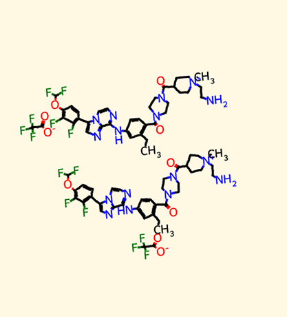 CCc1cc(Nc2nccn3c(-c4ccc(OC(F)F)c(F)c4F)cnc23)ccc1C(=O)N1CCN(C(=O)C2CC[N+](C)(CCN)CC2)CC1.CCc1cc(Nc2nccn3c(-c4ccc(OC(F)F)c(F)c4F)cnc23)ccc1C(=O)N1CCN(C(=O)C2CC[N+](C)(CCN)CC2)CC1.O=C([O-])C(F)(F)F.O=C([O-])C(F)(F)F